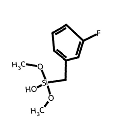 CO[Si](O)(Cc1cccc(F)c1)OC